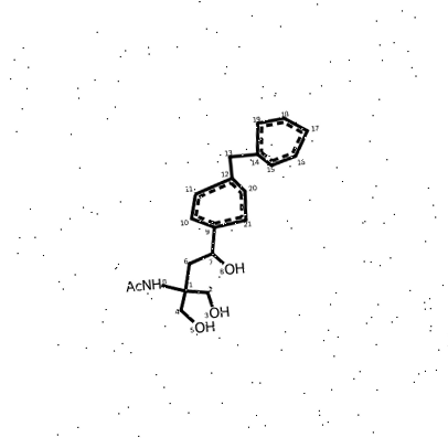 CC(=O)NC(CO)(CO)CC(O)c1ccc(Cc2ccccc2)cc1